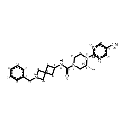 C[C@@H]1CN(C(=O)NC2CC3(C2)CN(Cc2ccccc2)C3)CCN1c1ncc(C#N)cn1